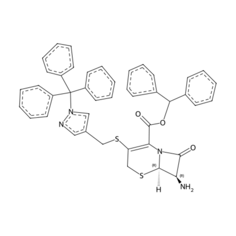 N[C@@H]1C(=O)N2C(C(=O)OC(c3ccccc3)c3ccccc3)=C(SCc3cnn(C(c4ccccc4)(c4ccccc4)c4ccccc4)c3)CS[C@H]12